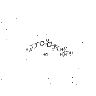 CC1CN(Cc2ccc(-n3ccc(NC(=O)N4CCN(C(=O)[C@@](C)(N)CO)CC4)nc3=O)cc2)CCC1N.Cl